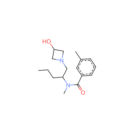 CCCC(CN1CC(O)C1)N(C)C(=O)c1cccc(C)c1